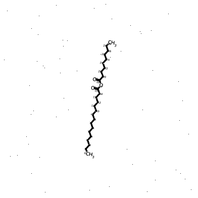 CCCCCCCCCCCCCCCC(=O)OC(=O)CCCCCCCCC